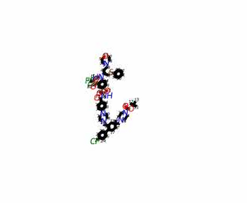 CC1(CN2CCN(C(=O)OC(C)(C)C)CC2)CCC(c2ccc(Cl)cc2)=C(CN2CCN(c3ccc(C(=O)NS(=O)(=O)c4ccc(NC(CCN5CCOCC5)CSc5ccccc5)c(S(=O)(=O)C(F)(F)F)c4)cc3)CC2)C1